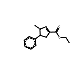 CCOC(=O)C1=NN(C)C(c2ccccc2)C1